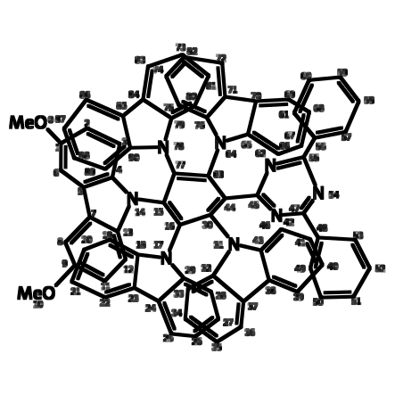 COc1ccc2c(c1)c1cc(OC)ccc1n2-c1c(-n2c3ccccc3c3ccccc32)c(-n2c3ccccc3c3ccccc32)c(-c2nc(-c3ccccc3)nc(-c3ccccc3)n2)c(-n2c3ccccc3c3ccccc32)c1-n1c2ccccc2c2ccccc21